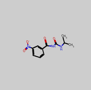 CC(C)NC(=O)NC(=O)c1cccc([N+](=O)[O-])c1